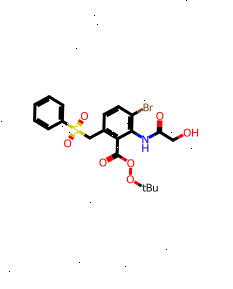 CC(C)(C)OOC(=O)c1c(CS(=O)(=O)c2ccccc2)ccc(Br)c1NC(=O)CO